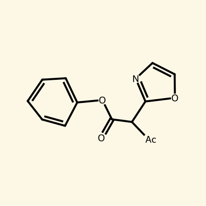 CC(=O)C(C(=O)Oc1ccccc1)c1ncco1